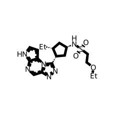 CCOCCS(=O)(=O)N[C@H]1C[C@@H](CC)[C@@H](c2nnc3cnc4[nH]ccc4n23)C1